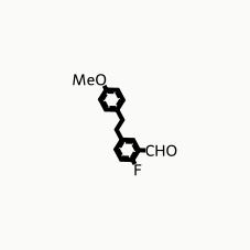 COc1ccc(CCc2ccc(F)c(C=O)c2)cc1